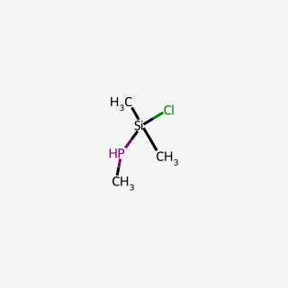 CP[Si](C)(C)Cl